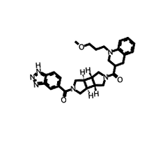 COCCCN1CC(C(=O)N2C[C@@H]3[C@H]4CN(C(=O)c5ccc6[nH]nnc6c5)C[C@H]4[C@@H]3C2)Cc2ccccc21